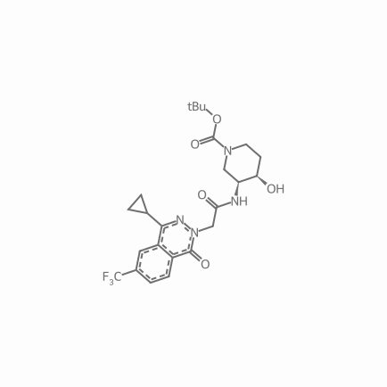 CC(C)(C)OC(=O)N1CC[C@@H](O)[C@@H](NC(=O)Cn2nc(C3CC3)c3cc(C(F)(F)F)ccc3c2=O)C1